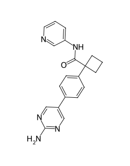 Nc1ncc(-c2ccc(C3(C(=O)Nc4cccnc4)CCC3)cc2)cn1